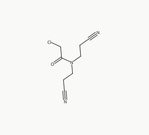 N#CCCN(CCC#N)C(=O)CCl